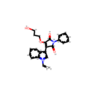 C=Cn1cc(C2=C(OCCCO)C(=O)N(c3ccccc3)C2=O)c2ccccc21